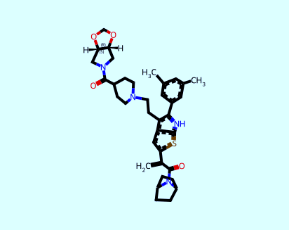 C=C(C(=O)N1C2CCC1CC2)c1cc2c(CCN3CCC(C(=O)N4C[C@@H]5OCO[C@@H]5C4)CC3)c(-c3cc(C)cc(C)c3)[nH]c2s1